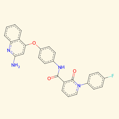 Nc1cc(Oc2ccc(NC(=O)c3cccn(-c4ccc(F)cc4)c3=O)cc2)c2ccccc2n1